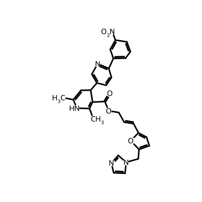 CC1=CC(c2ccc(-c3cccc([N+](=O)[O-])c3)nc2)C(C(=O)OC/C=C/c2ccc(Cn3ccnc3)o2)=C(C)N1